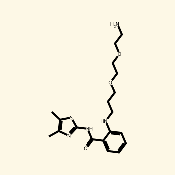 Cc1nc(NC(=O)c2ccccc2NCCCOCCOCCN)sc1C